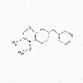 COc1c(C)cnc2c1CCN(Cc1ccccc1)C2